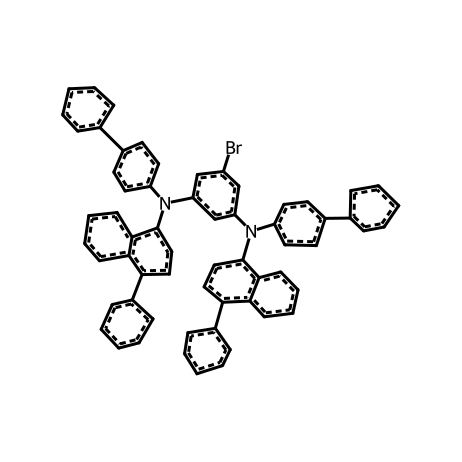 Brc1cc(N(c2ccc(-c3ccccc3)cc2)c2ccc(-c3ccccc3)c3ccccc23)cc(N(c2ccc(-c3ccccc3)cc2)c2ccc(-c3ccccc3)c3ccccc23)c1